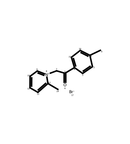 Cc1ccc(C(=O)C[n+]2ccccc2C)cc1.[Br-]